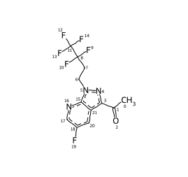 CC(=O)c1nn(CCC(F)(F)C(F)(F)F)c2ncc(F)cc12